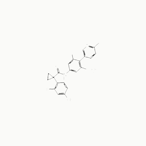 CCOC(=O)c1cc(NC(=O)C2(c3ccc(C(F)(F)F)cc3F)CC2)cc(F)c1-c1ccc(C)nc1